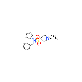 CN1CCC(S(=O)(=O)N(Cc2ccccc2)c2ccccc2)CC1